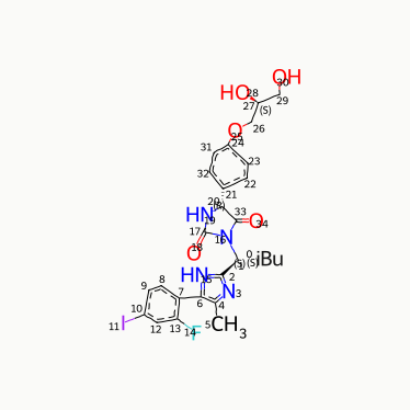 CC[C@H](C)[C@@H](c1nc(C)c(-c2ccc(I)cc2F)[nH]1)N1C(=O)N[C@H](c2ccc(OC[C@@H](O)CO)cc2)C1=O